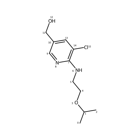 CC(C)OCCNc1ncc(CO)cc1Cl